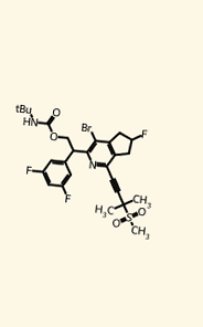 CC(C)(C)NC(=O)OCC(c1cc(F)cc(F)c1)c1nc(C#CC(C)(C)S(C)(=O)=O)c2c(c1Br)CC(F)C2